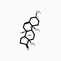 C[C@H]1CC[C@@]2(C)C(=CC[C@@H]3C2CC[C@]2(C)C(=O)CC[C@@H]32)C1